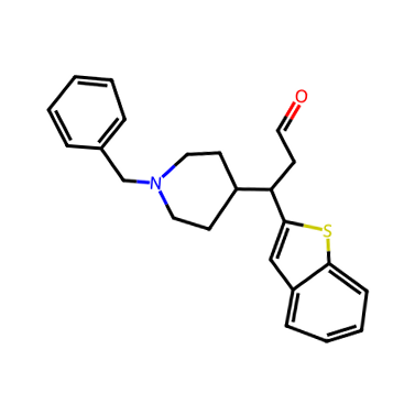 O=CCC(c1cc2ccccc2s1)C1CCN(Cc2ccccc2)CC1